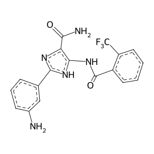 NC(=O)c1nc(-c2cccc(N)c2)[nH]c1NC(=O)c1ccccc1C(F)(F)F